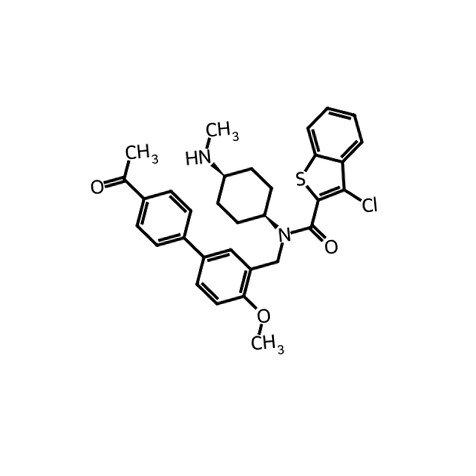 CN[C@H]1CC[C@@H](N(Cc2cc(-c3ccc(C(C)=O)cc3)ccc2OC)C(=O)c2sc3ccccc3c2Cl)CC1